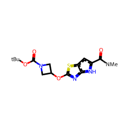 CNC(=O)c1cc2sc(OC3CN(C(=O)OC(C)(C)C)C3)nc2[nH]1